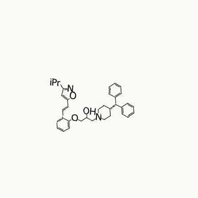 CC(C)c1cc(C=Cc2ccccc2OCC(O)CN2CCC(=C(c3ccccc3)c3ccccc3)CC2)on1